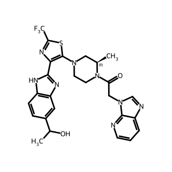 CC(O)c1ccc2[nH]c(-c3nc(C(F)(F)F)sc3N3CCN(C(=O)Cn4cnc5cccnc54)[C@H](C)C3)nc2c1